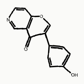 O=c1c(-c2ccc(O)cc2)coc2ccncc12